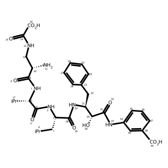 CC(C)C[C@H](NC(=O)[C@@H](NC(=O)[C@@H](N)CNC(=O)C(=O)O)C(C)C)C(=O)N[C@@H](Cc1ccccc1)[C@@H](O)C(=O)Nc1cccc(C(=O)O)c1